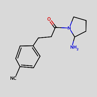 N#Cc1ccc(CCC(=O)N2CCCC2N)cc1